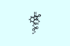 CCOC(=O)CNc1cccc2[nH]c(=O)n(C)c12